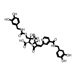 C[C@]1(COC(=O)NCc2ccc(O)c(O)c2)[C@H](C(=O)O)N2C(=O)/C(=C/c3cc(C(=O)NCC4C=CC(O)=C(O)C4)ccn3)[C@H]2S1(=O)=O